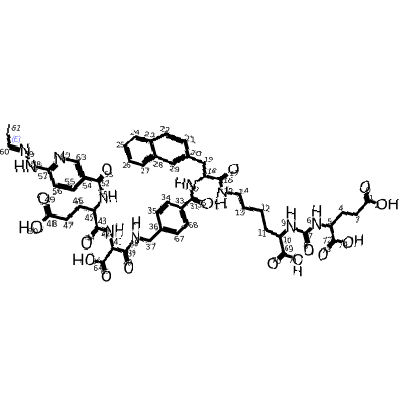 O=C(O)CCC(NC(=O)NC(CCCCNC(=O)C(Cc1ccc2ccccc2c1)NC(=O)c1ccc(CNC(=O)C(NC(=O)C(CCC(=O)O)NC(=O)c2ccc(N/N=C/I)nc2)C(=O)O)cc1)C(=O)O)C(=O)O